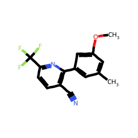 COc1cc(C)cc(-c2nc(C(F)(F)F)ccc2C#N)c1